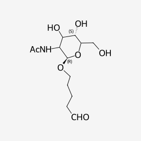 CC(=O)NC1C(O)[C@H](O)C(CO)O[C@H]1OCCCCC=O